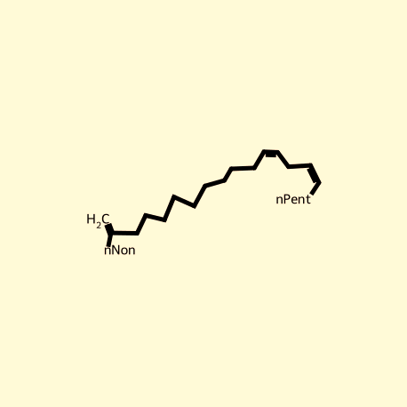 C=C(CCCCCCCCC)CCCCCCCCC/C=C\C/C=C\CCCCC